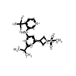 CC(C)c1nc(Nc2cnccc2C(F)(F)F)cc(C2CN(S(C)(=O)=O)C2)n1